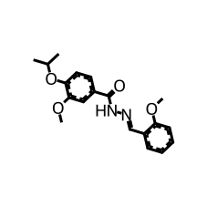 COc1ccccc1/C=N/NC(=O)c1ccc(OC(C)C)c(OC)c1